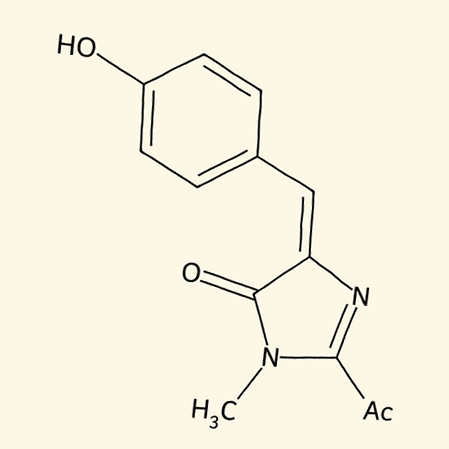 CC(=O)C1=NC(=Cc2ccc(O)cc2)C(=O)N1C